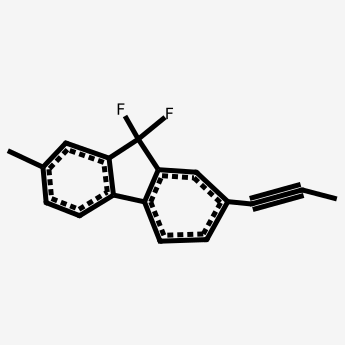 CC#Cc1ccc2c(c1)C(F)(F)c1cc(C)ccc1-2